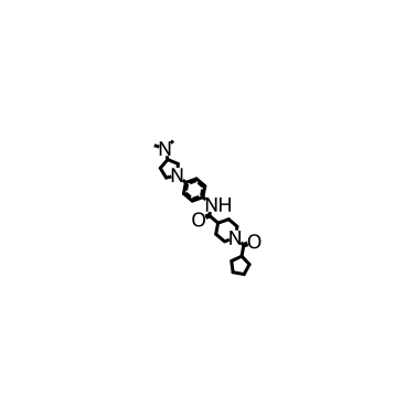 CN(C)C1CCN(c2ccc(NC(=O)C3CCN(C(=O)C4CCCC4)CC3)cc2)C1